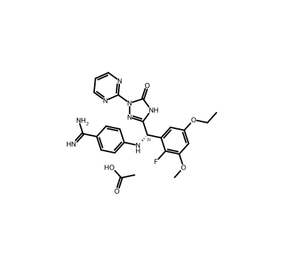 CC(=O)O.CCOc1cc(OC)c(F)c([C@H](Nc2ccc(C(=N)N)cc2)c2nn(-c3ncccn3)c(=O)[nH]2)c1